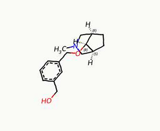 CN1C[C@H]2CC[C@@H](C1)[C@H]2OCc1cccc(CO)c1